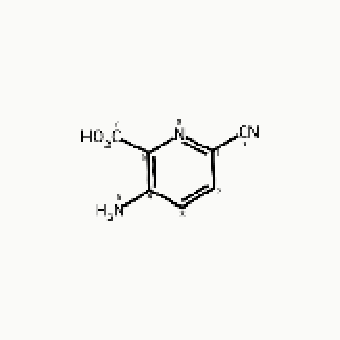 N#Cc1ccc(N)c(C(=O)O)n1